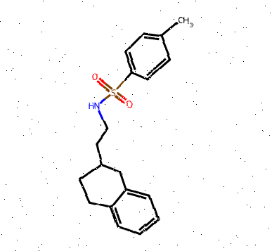 Cc1ccc(S(=O)(=O)NCCC2CCc3ccccc3C2)cc1